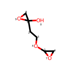 OC1(CCOC2CO2)CO1